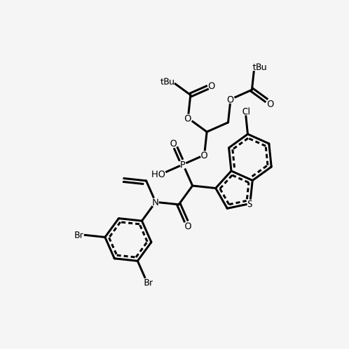 C=CN(C(=O)C(c1csc2ccc(Cl)cc12)P(=O)(O)OC(COC(=O)C(C)(C)C)OC(=O)C(C)(C)C)c1cc(Br)cc(Br)c1